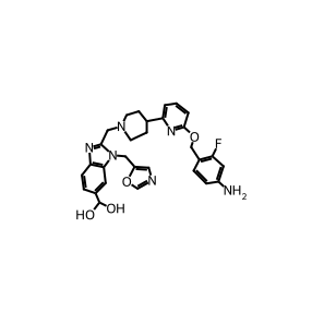 Nc1ccc(COc2cccc(C3CCN(Cc4nc5ccc(C(O)O)cc5n4Cc4cnco4)CC3)n2)c(F)c1